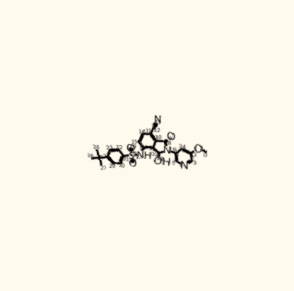 COc1cncc(N2C(=O)c3c(C#N)ccc(NS(=O)(=O)c4ccc(C(C)(C)C)cc4)c3C2O)c1